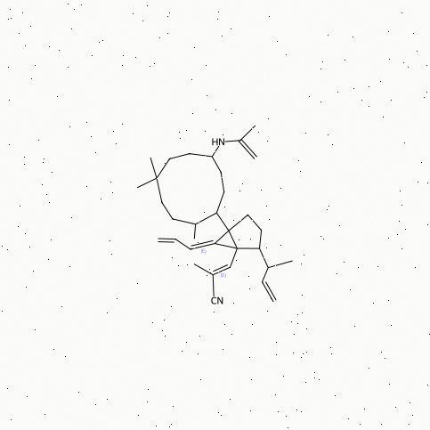 C=C/C=C1/C2(/C=C(\C)C#N)C(C(C)C=C)CCC12C1CCC(NC(=C)C)CCC(C)(C)CCC1C